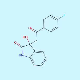 O=C(CC1(O)C(=O)Nc2ccccc21)c1ccc(F)cc1